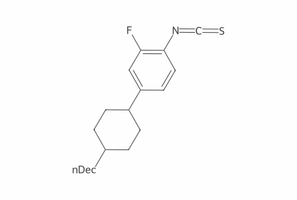 CCCCCCCCCCC1CCC(c2ccc(N=C=S)c(F)c2)CC1